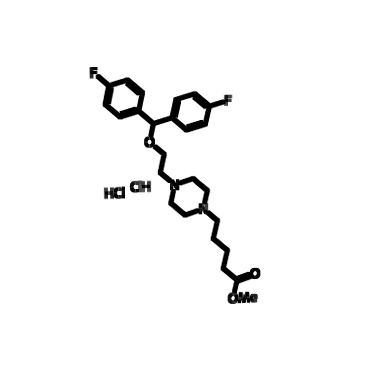 COC(=O)CCCCN1CCN(CCOC(c2ccc(F)cc2)c2ccc(F)cc2)CC1.Cl.Cl